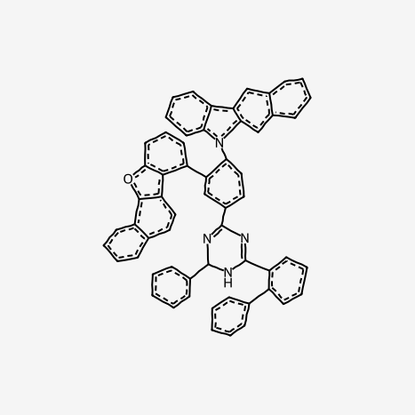 c1ccc(-c2ccccc2C2=NC(c3ccc(-n4c5ccccc5c5cc6ccccc6cc54)c(-c4cccc5oc6c7ccccc7ccc6c45)c3)=NC(c3ccccc3)N2)cc1